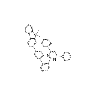 C[Si]1(C)c2ccccc2-c2ccc(-c3ccc(-c4ccccc4-c4nc(-c5ccccc5)nc(-c5ccccc5)n4)cc3)cc21